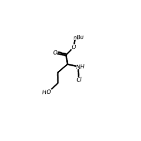 CCCCOC(=O)C(CCO)NCl